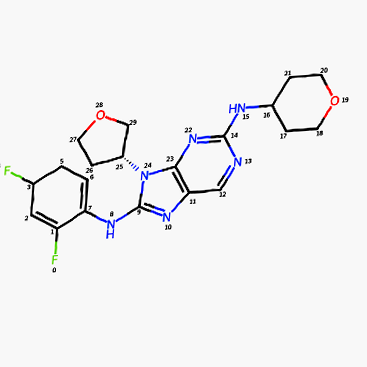 FC1=CC(F)CC=C1Nc1nc2cnc(NC3CCOCC3)nc2n1[C@@H]1CCOC1